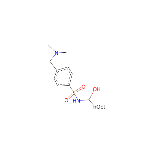 CCCCCCCCC(O)NS(=O)(=O)c1ccc(CN(C)C)cc1